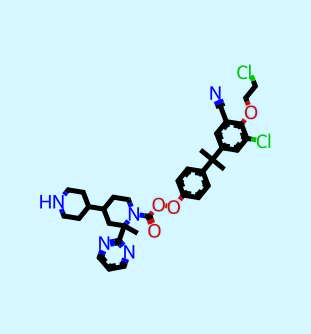 CC(C)(c1ccc(OOC(=O)N2CCC(C3CCNCC3)CC2(C)c2ncccn2)cc1)c1cc(Cl)c(OCCCl)c(C#N)c1